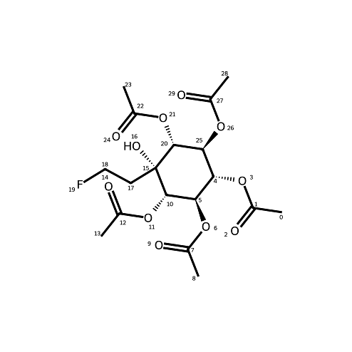 CC(=O)O[C@@H]1[C@@H](OC(C)=O)[C@H](OC(C)=O)[C@@](O)(CCF)[C@H](OC(C)=O)[C@H]1OC(C)=O